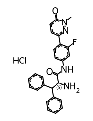 Cl.Cn1nc(-c2ccc(NC(=O)[C@@H](N)C(c3ccccc3)c3ccccc3)cc2F)ccc1=O